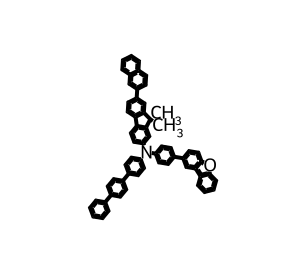 CC1(C)c2cc(-c3ccc4ccccc4c3)ccc2-c2ccc(N(c3ccc(-c4ccc(-c5ccccc5)cc4)cc3)c3ccc(-c4ccc5oc6ccccc6c5c4)cc3)cc21